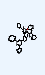 c1ccc(-c2cc(-c3ccc(-n4c5ccccc5c5ccccc54)c(-c4nc(-c5ccccc5)nc(-c5ccccc5)n4)c3)cc(-c3ccccc3)n2)cc1